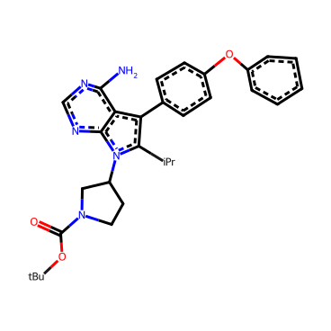 CC(C)c1c(-c2ccc(Oc3ccccc3)cc2)c2c(N)ncnc2n1C1CCN(C(=O)OC(C)(C)C)C1